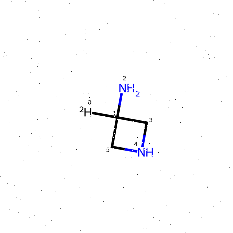 [2H]C1(N)CNC1